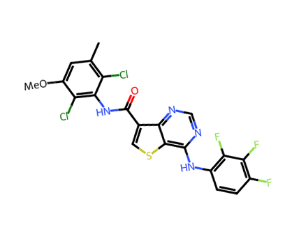 COc1cc(C)c(Cl)c(NC(=O)c2csc3c(Nc4ccc(F)c(F)c4F)ncnc23)c1Cl